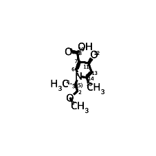 COC[C@H](C)n1cc(C(=O)O)c(=O)cc1C